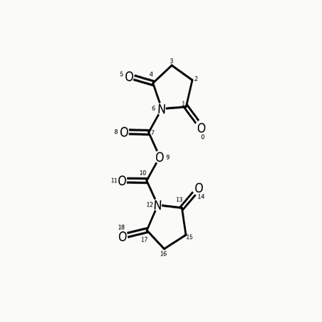 O=C1CCC(=O)N1C(=O)OC(=O)N1C(=O)CCC1=O